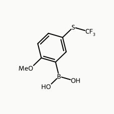 COc1ccc(SC(F)(F)F)cc1B(O)O